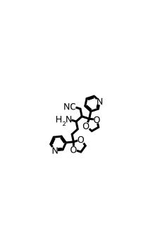 N#CCC(C(N)CCC1(c2cccnc2)OCCO1)C1(c2cccnc2)OCCO1